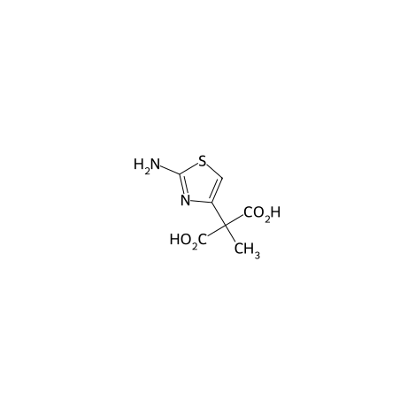 CC(C(=O)O)(C(=O)O)c1csc(N)n1